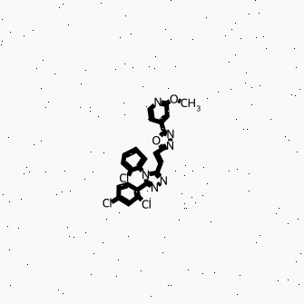 COc1cc(-c2nnc(/C=C/c3nnc(-c4ccc(Cl)cc4Cl)n3-c3ccccc3Cl)o2)ccn1